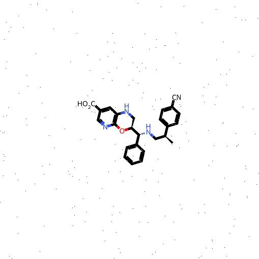 C[C@@H](CN[C@H](c1ccccc1)[C@@H]1CNc2cc(C(=O)O)cnc2O1)c1ccc(C#N)cc1